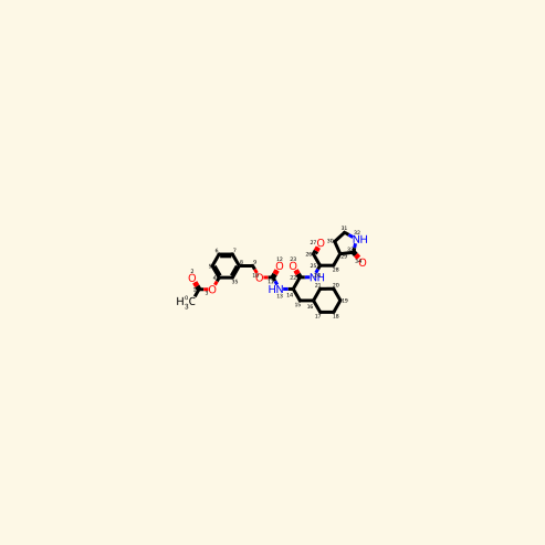 CC(=O)Oc1cccc(COC(=O)NC(CC2CCCCC2)C(=O)NC(C=O)CC2CCNC2=O)c1